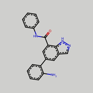 Nc1ccccc1-c1cc(C(=O)Nc2ccccc2)c2[nH]ncc2c1